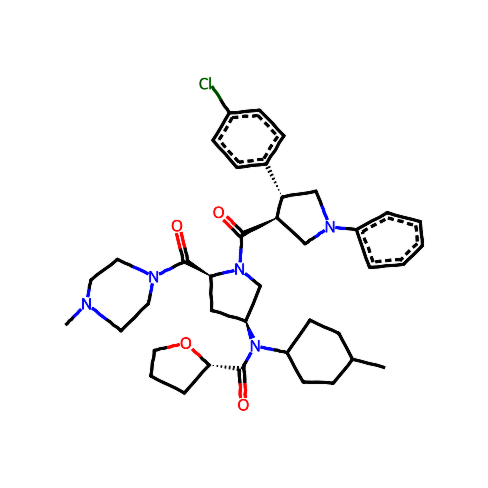 CC1CCC(N(C(=O)[C@@H]2CCCO2)[C@H]2C[C@@H](C(=O)N3CCN(C)CC3)N(C(=O)[C@@H]3CN(c4ccccc4)C[C@H]3c3ccc(Cl)cc3)C2)CC1